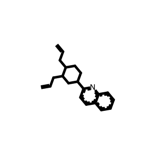 C=CCC1CCC(c2ccc3ccccc3n2)CC1CC=C